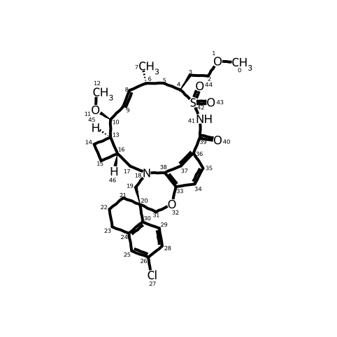 COCC[C@@H]1C[C@@H](C)/C=C/[C@H](OC)[C@@H]2CC[C@H]2CN2C[C@@]3(CCCc4cc(Cl)ccc43)COc3ccc(cc32)C(=O)NS1(=O)=O